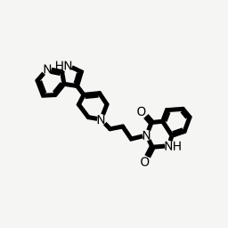 O=c1[nH]c2ccccc2c(=O)n1CCCN1CC=C(c2c[nH]c3ncccc23)CC1